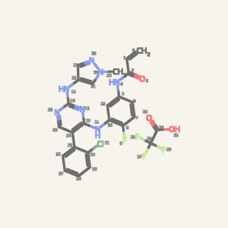 C=CC(=O)Nc1ccc(F)c(Nc2nc(Nc3cnn(C)c3)ncc2-c2ccccc2Cl)c1.O=C(O)C(F)(F)F